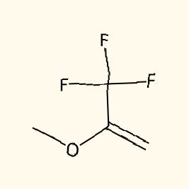 C=C(OC)C(F)(F)F